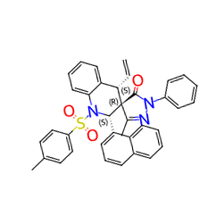 C=C[C@H]1c2ccccc2N(S(=O)(=O)c2ccc(C)cc2)[C@@H](c2cccc3ccccc23)[C@]12C(=O)N(c1ccccc1)N=C2C